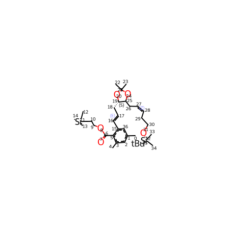 Cc1cc(C)c(C(=O)OCC[Si](C)(C)C)c(/C=C/C[C@@H]2OC(C)(C)OC2C/C=C\CCO[Si](C)(C)C(C)(C)C)c1